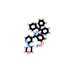 CC(C)Oc1cc2c(-c3ccnc(N4CCOCC4)c3)nn(C(c3ccccc3)(c3ccccc3)c3ccccc3)c2cc1F